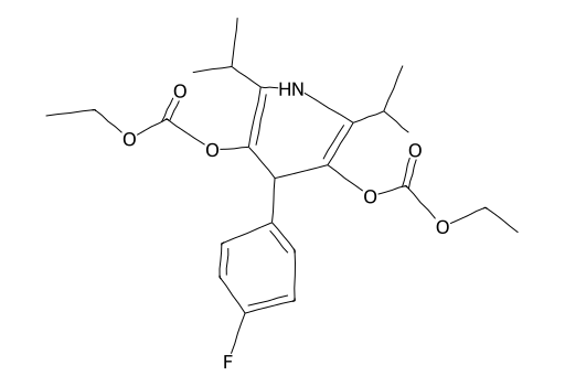 CCOC(=O)OC1=C(C(C)C)NC(C(C)C)=C(OC(=O)OCC)C1c1ccc(F)cc1